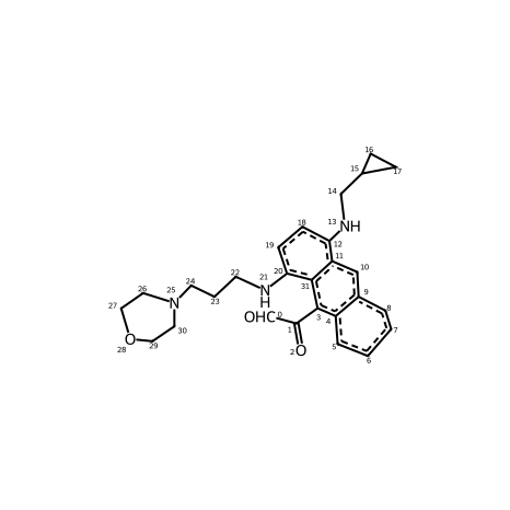 O=CC(=O)c1c2ccccc2cc2c(NCC3CC3)ccc(NCCCN3CCOCC3)c12